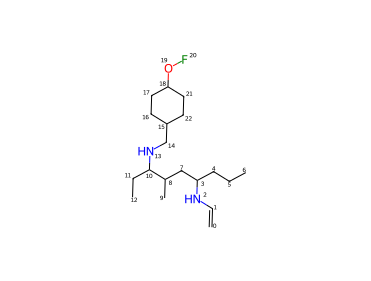 C=CNC(CCC)CC(C)C(CC)NCC1CCC(OF)CC1